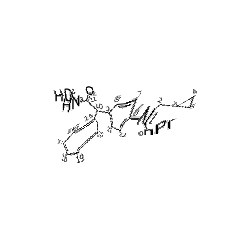 CCCN(CC1CC1)c1ccc(C(C(=O)NO)c2ccccc2)cc1